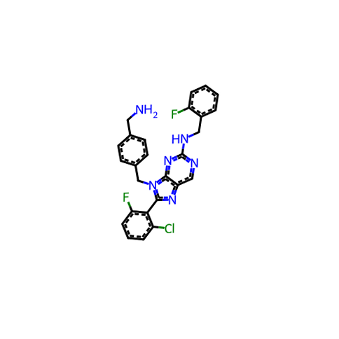 NCc1ccc(Cn2c(-c3c(F)cccc3Cl)nc3cnc(NCc4ccccc4F)nc32)cc1